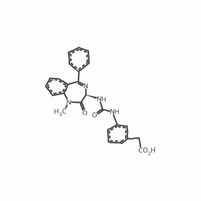 CN1C(=O)[C@H](NC(=O)Nc2cccc(CC(=O)O)c2)N=C(c2ccccc2)c2ccccc21